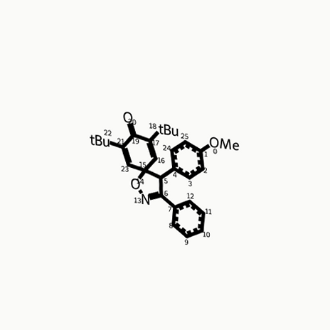 COc1ccc(C2C(c3ccccc3)=NOC23C=C(C(C)(C)C)C(=O)C(C(C)(C)C)=C3)cc1